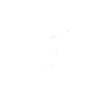 CC(C)(C)OC(=O)N1Cc2cccnc2Nc2ccc(C3(CO)CCOCC3)cc21